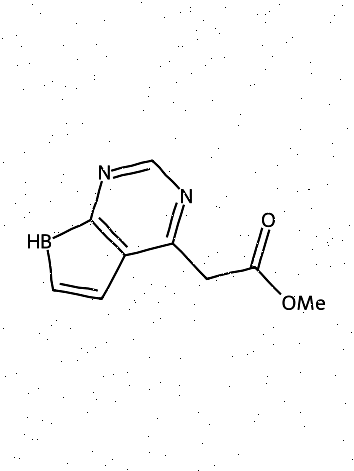 COC(=O)Cc1ncnc2c1C=CB2